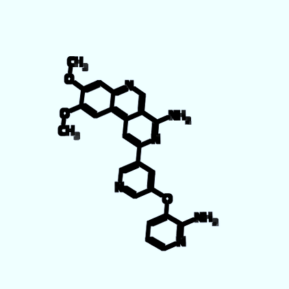 COc1cc2ncc3c(N)nc(-c4cncc(Oc5cccnc5N)c4)cc3c2cc1OC